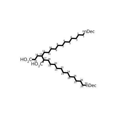 CCCCCCCCCCCCCCCCCCCCCCC(CCC(=O)O)C(CCCCCCCCCCCCCCCCCCCCCC)C(=O)O